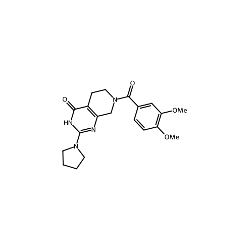 COc1ccc(C(=O)N2CCc3c(nc(N4CCCC4)[nH]c3=O)C2)cc1OC